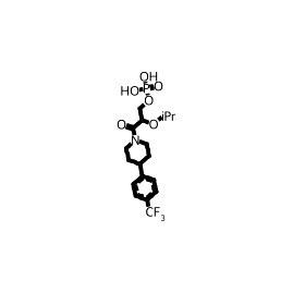 CC(C)OC(COP(=O)(O)O)C(=O)N1CCC(c2ccc(C(F)(F)F)cc2)CC1